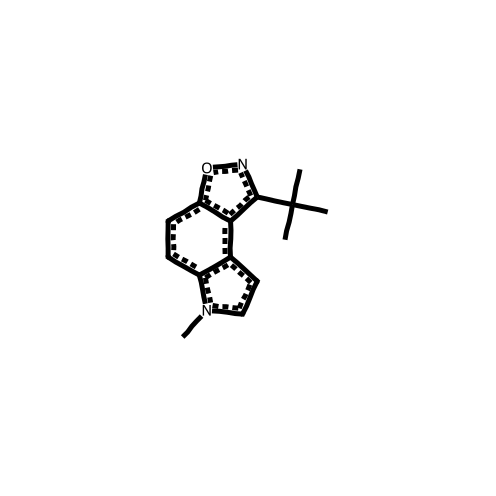 Cn1ccc2c3c(C(C)(C)C)noc3ccc21